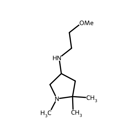 COCCNC1CN(C)C(C)(C)C1